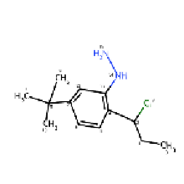 CCC(Cl)c1ccc(C(C)(C)C)cc1NN